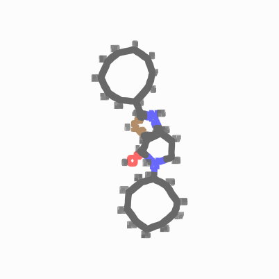 O=C1c2sc(C3CCCCCCCCC3)nc2CCN1C1CCCCCCCCC1